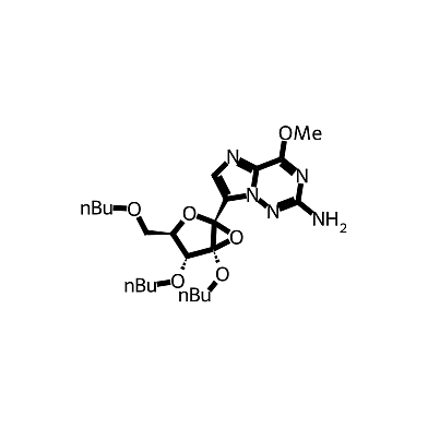 CCCCOC[C@H]1O[C@]2(c3cnc4c(OC)nc(N)nn34)O[C@@]2(OCCCC)[C@@H]1OCCCC